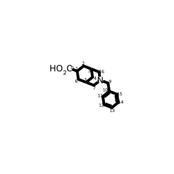 O=C(O)C1CC2CC(C1)CN(Cc1ccccc1)C2